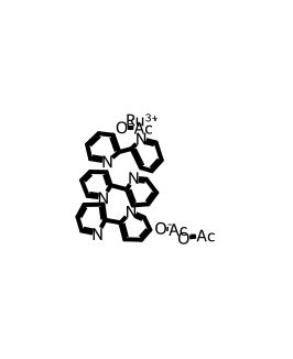 CC(=O)[O-].CC(=O)[O-].CC(=O)[O-].[Ru+3].c1ccc(-c2ccccn2)nc1.c1ccc(-c2ccccn2)nc1.c1ccc(-c2ccccn2)nc1